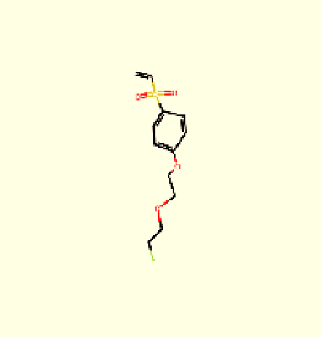 C=CS(=O)(=O)c1ccc(OCCOCCF)cc1